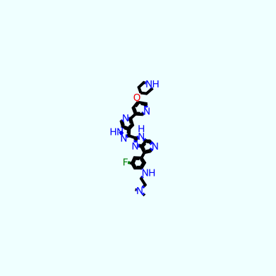 CN(C)CCNc1cc(F)cc(-c2cncc3[nH]c(-c4n[nH]c5cnc(-c6cncc(OC7CCNCC7)c6)cc45)nc23)c1